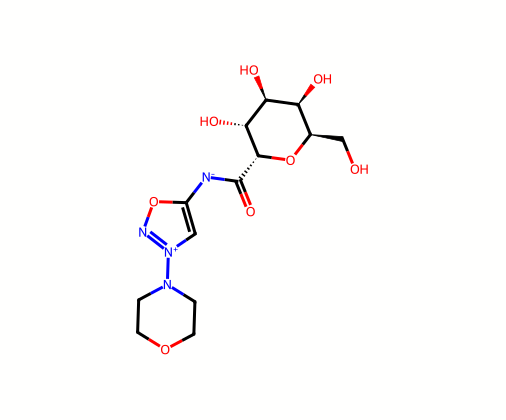 O=C([N-]c1c[n+](N2CCOCC2)no1)[C@H]1O[C@H](CO)[C@H](O)[C@H](O)[C@H]1O